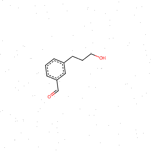 O=Cc1cccc(CC[CH]O)c1